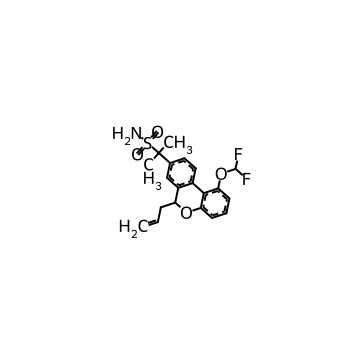 C=CCC1Oc2cccc(OC(F)F)c2-c2ccc(C(C)(C)S(N)(=O)=O)cc21